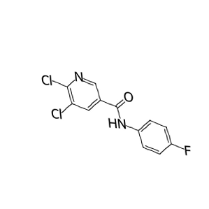 O=C(Nc1ccc(F)cc1)c1cnc(Cl)c(Cl)c1